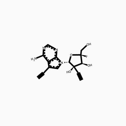 C#Cc1cn([C@@H]2O[C@](F)(CO)[C@@H](O)[C@]2(O)C#C)c2ncnc(N)c12